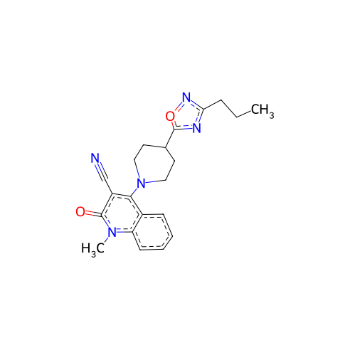 CCCc1noc(C2CCN(c3c(C#N)c(=O)n(C)c4ccccc34)CC2)n1